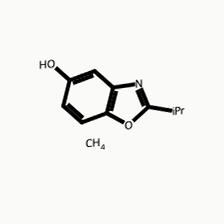 C.CC(C)c1nc2cc(O)ccc2o1